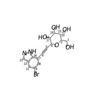 OCC1OC(C#Cc2cc(Br)cc3cn[nH]c23)C(O)C(O)[C@@H]1O